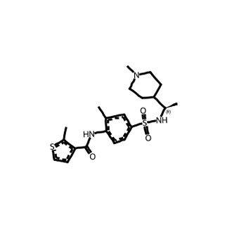 Cc1cc(S(=O)(=O)N[C@H](C)C2CCN(C)CC2)ccc1NC(=O)c1ccsc1C